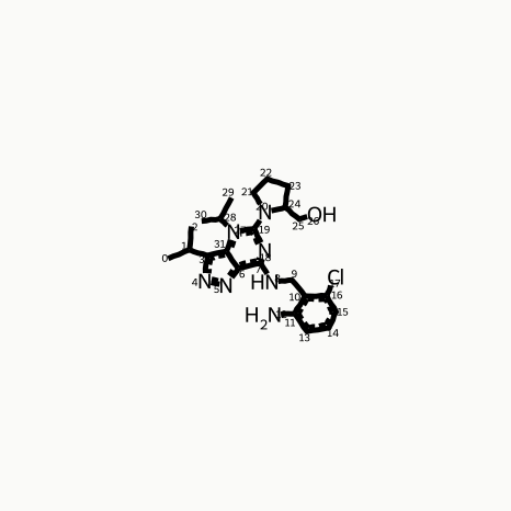 CC(C)c1nnc2c(NCc3c(N)cccc3Cl)nc(N3CCCC3CO)n(C(C)C)c1-2